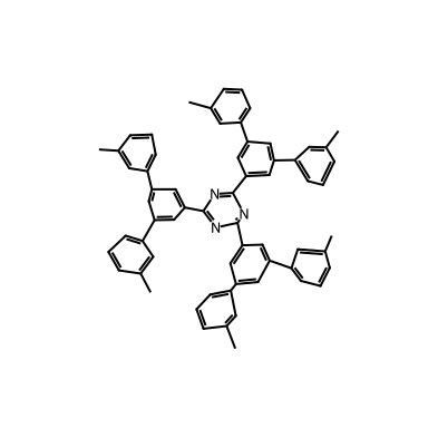 Cc1cccc(-c2cc(-c3cccc(C)c3)cc(-c3nc(-c4cc(-c5cccc(C)c5)cc(-c5cccc(C)c5)c4)nc(-c4cc(-c5cccc(C)c5)cc(-c5cccc(C)c5)c4)n3)c2)c1